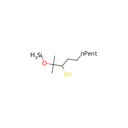 CCCCCCCC(S)C(C)(C)O[SiH3]